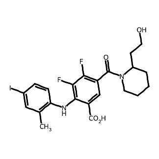 Cc1cc(I)ccc1Nc1c(C(=O)O)cc(C(=O)N2CCCCC2CCO)c(F)c1F